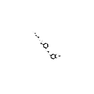 NONC(=O)NNC(=O)c1cccc(NC(=O)Nc2ccc3[nH]c(S)nc3c2)c1